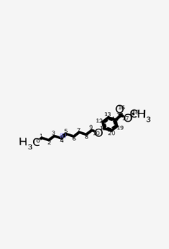 CCCC/C=C/CCCCOc1ccc(C(=O)OC)cc1